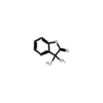 CC1(C)C(=O)Oc2ccccc21